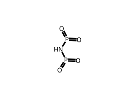 O=P(=O)NP(=O)=O